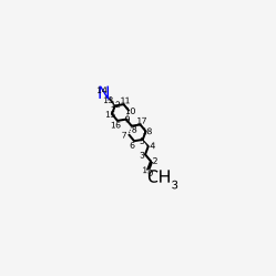 C/C=C/CC[C@H]1CC[C@H]([C@H]2CC[C@H](C#N)CC2)CC1